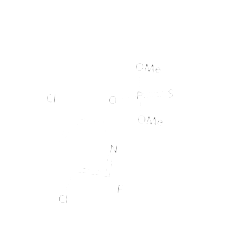 COP(=S)(OC)Oc1nc(F)c(Cl)cc1Cl